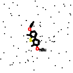 CC#COc1ccc2c(sc3c(C)c(OCCCC)ccc32)c1C